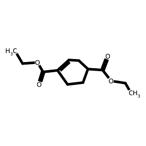 CCOC(=O)C1=CCC(C(=O)OCC)CC1